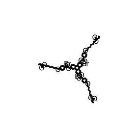 C=CC(=O)OCCCCCCOc1ccc(C(=O)Oc2cc3c(cc2Br)c2cc(OC(=O)c4ccc(OCCCCCCOC(=O)C=C)cc4)c(Br)cc2c2cc(OC(=O)c4ccc(OCCCCCCOC(=O)C=C)cc4)c(Br)cc32)cc1